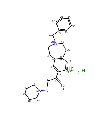 Cl.Cl.O=C(CCN1CCCCC1)c1ccc2c(c1)CCN(Cc1ccccc1)CC2